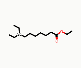 CCOC(=O)CCCCC[CH2][Sb]([CH2]C)[CH2]C